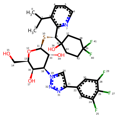 CC(C)c1cccnc1[C@@H](S[C@@H]1O[C@H](CO)[C@H](O)[C@H](n2cc(-c3cc(F)c(F)c(F)c3)nn2)[C@H]1O)C1(O)CCC(F)(F)CC1